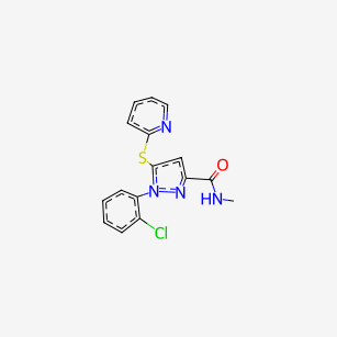 CNC(=O)c1cc(Sc2ccccn2)n(-c2ccccc2Cl)n1